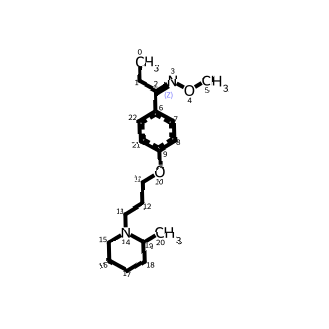 CC/C(=N/OC)c1ccc(OCCCN2CCCCC2C)cc1